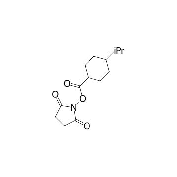 CC(C)C1CCC(C(=O)ON2C(=O)CCC2=O)CC1